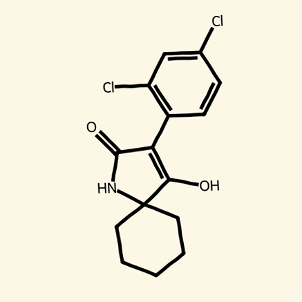 O=C1NC2(CCCCC2)C(O)=C1c1ccc(Cl)cc1Cl